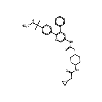 CC(C)(NC(=O)O)c1ccc(-c2ncc(NC(=O)C[C@H]3CC[C@H](NC(=O)CC4CC4)CC3)cc2-c2ccccc2)cc1